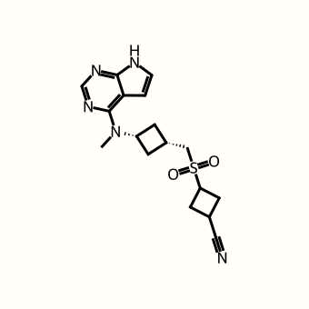 CN(c1ncnc2[nH]ccc12)[C@H]1C[C@@H](CS(=O)(=O)C2CC(C#N)C2)C1